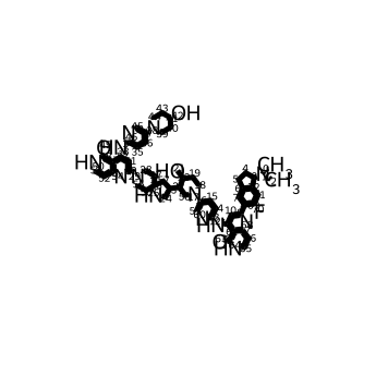 CN(C)C1CCc2cc(-c3cc(Nc4ccc(N5CCC(O)C(C6CNC7(CCN(c8cc(Nc9ccc(N%10CCC(O)CC%10)cn9)c9c(=O)[nH]ccc9n8)CC7)C6)C5)cn4)c4c(=O)[nH]ccc4n3)c(F)cc21